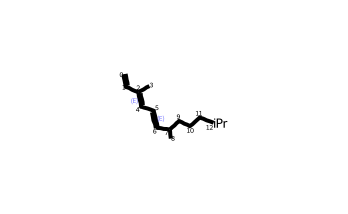 C=C/C(C)=C/C=C/C(C)CCCC(C)C